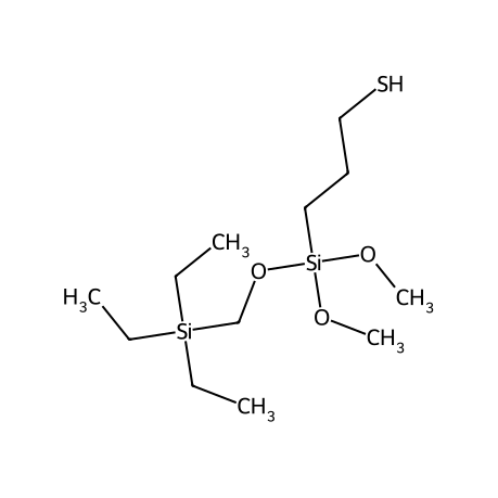 CC[Si](CC)(CC)CO[Si](CCCS)(OC)OC